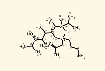 C=C(C)C[Si]1(CCCN)O[SiH](C(C)C(C)[SiH](O)C(C)C)C(C)[Si](C)(C(C)C)O1